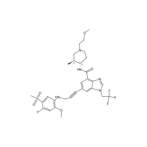 COCCN1CC[C@H](NC(=O)c2cc(C#CCNc3cc(S(C)(=O)=O)c(F)cc3OC)cc3c2ncn3CC(F)(F)F)[C@@H](C)C1